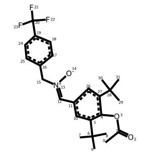 CC(=O)Oc1c(C(C)(C)C)cc(C=[N+]([O-])Cc2ccc(C(F)(F)F)cc2)cc1C(C)(C)C